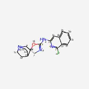 Fc1nc(NC2=NC[C@]3(CN4CCC3CC4)O2)cc2ccccc12